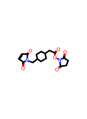 O=C(CC1CCC(CN2C(=O)C=CC2=O)CC1)ON1C(=O)CCC1=O